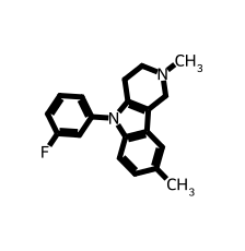 Cc1ccc2c(c1)c1c(n2-c2cccc(F)c2)CCN(C)C1